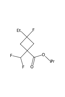 CCC1(F)CC(C(=O)OC(C)C)(C(F)F)C1